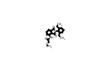 CCc1cccc(CC)c1N1C(=O)c2cccc(NC(=O)COC)c2C1=O